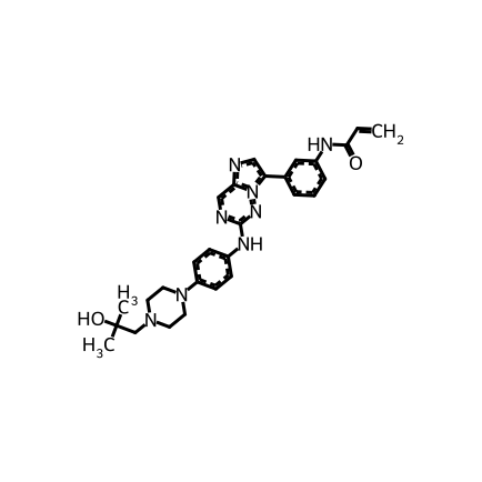 C=CC(=O)Nc1cccc(-c2cnc3cnc(Nc4ccc(N5CCN(CC(C)(C)O)CC5)cc4)nn23)c1